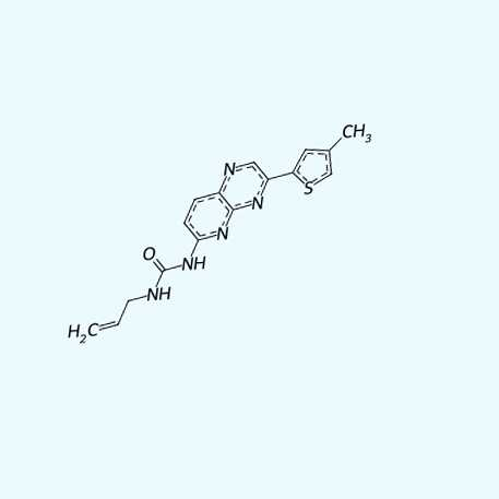 C=CCNC(=O)Nc1ccc2ncc(-c3cc(C)cs3)nc2n1